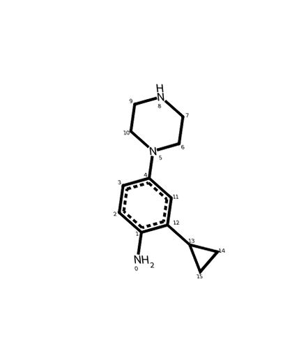 Nc1ccc(N2CCNCC2)cc1C1CC1